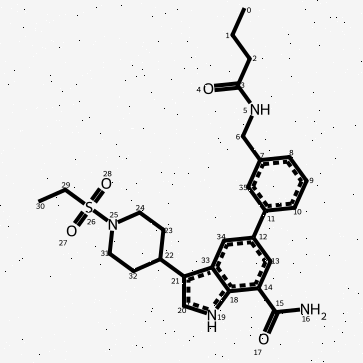 CCCC(=O)NCc1cccc(-c2cc(C(N)=O)c3[nH]cc(C4CCN(S(=O)(=O)CC)CC4)c3c2)c1